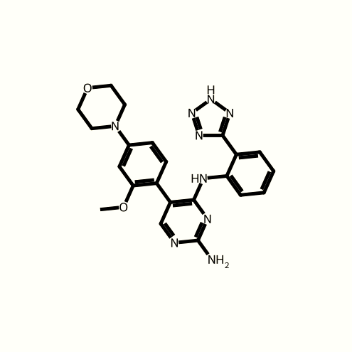 COc1cc(N2CCOCC2)ccc1-c1cnc(N)nc1Nc1ccccc1-c1nn[nH]n1